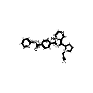 N#CCN1CCCC1C1=C2C=NC=C[N+]2(N)C(c2ccc(C(=O)Nc3ccccn3)cc2)=N1